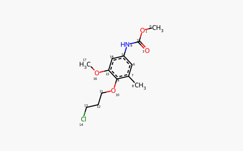 COC(=O)Nc1cc(C)c(OCCCCl)c(OC)c1